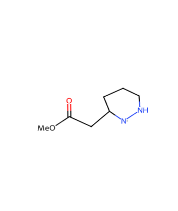 COC(=O)CC1CCCN[N]1